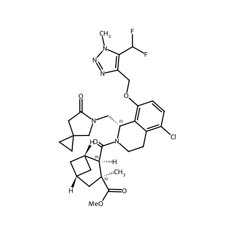 COC(=O)[C@@]1(C)C[C@H]2C[C@H](C2)[C@H]1C(=O)N1CCc2c(Cl)ccc(OCc3nnn(C)c3C(F)F)c2[C@H]1CN1CC2(CC2)CC1=O